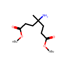 [CH2]C(N)(CCC(=O)OCCCC)CCC(=O)OCCCC